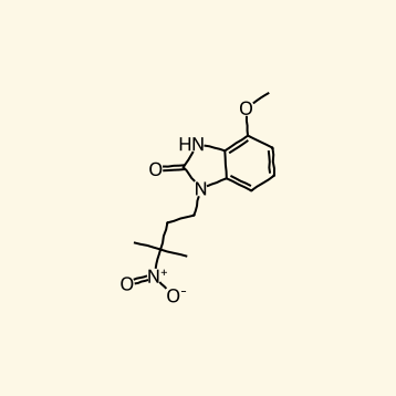 COc1cccc2c1[nH]c(=O)n2CCC(C)(C)[N+](=O)[O-]